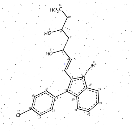 CC(C)n1c(/C=C/C(O)CC(O)CC(=O)O)c(-c2ccc(Cl)cc2)c2ccccc21